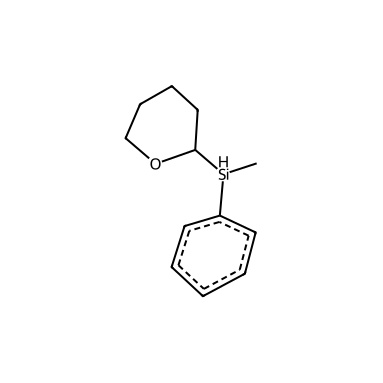 C[SiH](c1ccccc1)C1CCCCO1